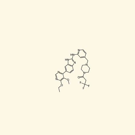 CCOc1ncnc(-c2ccc3nc(Nc4cc(CN5CCN(C(=O)CC(F)(F)F)CC5)ccn4)[nH]c3c2)c1OC